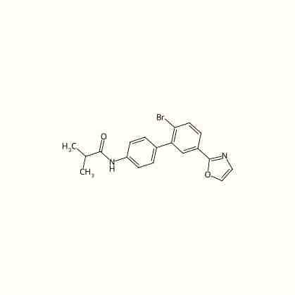 CC(C)C(=O)Nc1ccc(-c2cc(-c3ncco3)ccc2Br)cc1